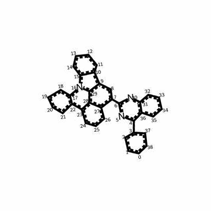 c1ccc(-c2nc(-c3cc4c5ccccc5n5c6ccccc6c6cccc3c6c45)nc3ccccc23)cc1